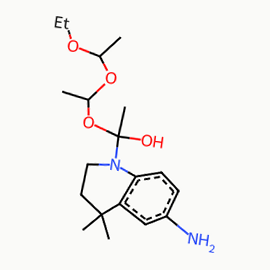 CCOC(C)OC(C)OC(C)(O)N1CCC(C)(C)c2cc(N)ccc21